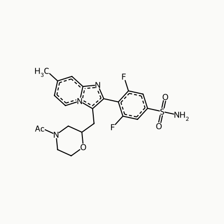 CC(=O)N1CCOC(Cc2c(-c3c(F)cc(S(N)(=O)=O)cc3F)nc3cc(C)ccn23)C1